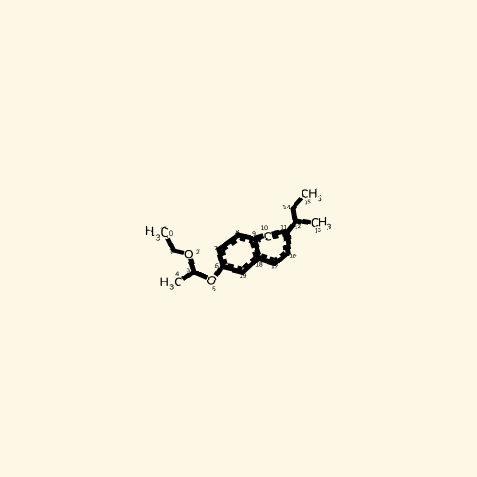 CCOC(C)Oc1ccc2cc(C(C)CC)ccc2c1